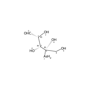 O=C[C@H](O)[C@@H](O)[C@](O)([AsH2])CO